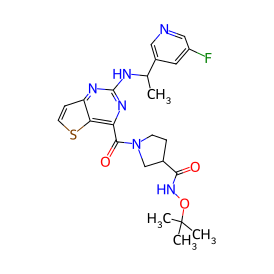 CC(Nc1nc(C(=O)N2CCC(C(=O)NOC(C)(C)C)C2)c2sccc2n1)c1cncc(F)c1